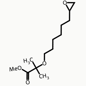 COC(=O)C(C)(C)OCCCCCCC1CO1